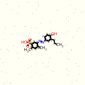 CCCc1cc(N=Nc2cc(S(=O)(=O)O)c(C)cc2C)ccc1O